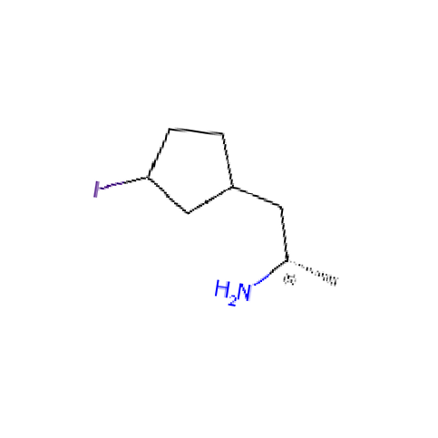 C[C@H](N)CC1CCC(I)C1